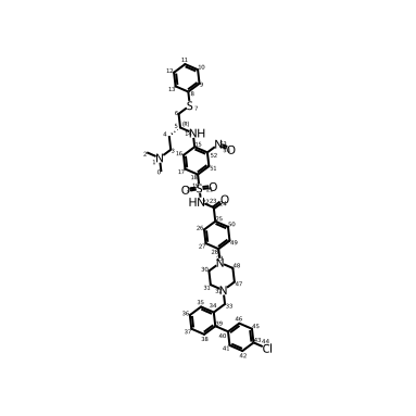 CN(C)CC[C@H](CSc1ccccc1)Nc1ccc(S(=O)(=O)NC(=O)c2ccc(N3CCN(Cc4ccccc4-c4ccc(Cl)cc4)CC3)cc2)cc1N=O